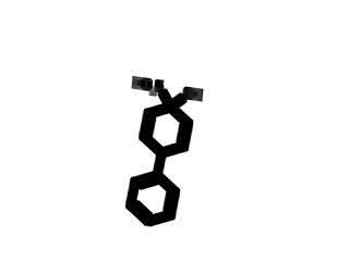 O=S(=O)(O)C1(O)C=CC(c2ccccc2)C=C1